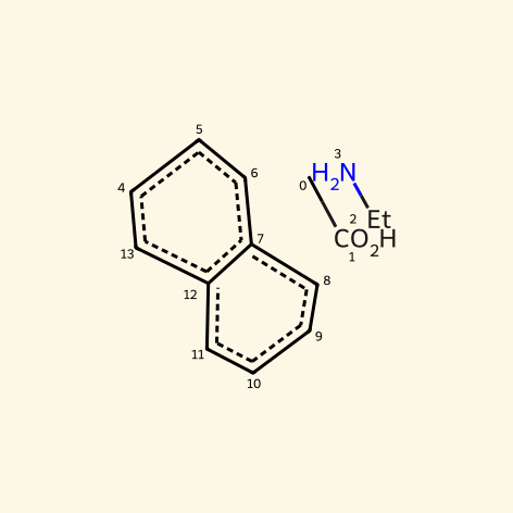 CC(=O)O.CCN.c1ccc2ccccc2c1